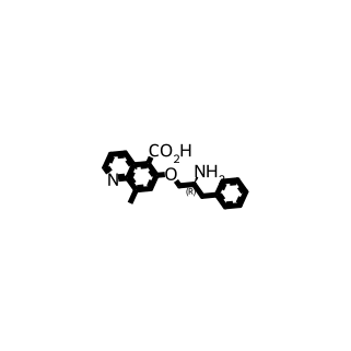 Cc1cc(OC[C@H](N)Cc2ccccc2)c(C(=O)O)c2cccnc12